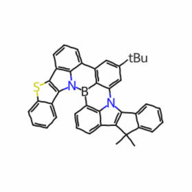 CC(C)(C)c1cc2c3c(c1)-n1c4c(c5cccc(c51)B3n1c3c-2cccc3c2sc3ccccc3c21)C(C)(C)c1ccccc1-4